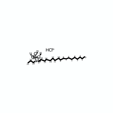 CCCCCCCCCCCCCCCCCC[SiH](CCC)[Si](OC)(OC)OC.Cl